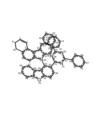 C1=Cc2c(ccc3c2c2cc4ccccc4cc2n3-c2c(-c3nc(-c4ccccc4)nc(-c4ccccc4)n3)ccc3oc4ccccc4c23)CC1